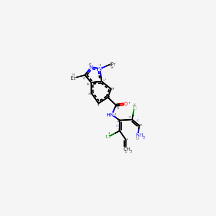 C=C/C(Cl)=C(NC(=O)c1ccc2c(CC)nn(C(C)C)c2c1)\C(Cl)=C/N